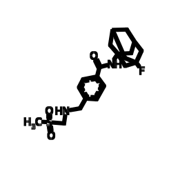 CS(=O)(=O)CNCc1ccc(C(=O)NC23CC4CC(CC(F)(C4)C2)C3)cc1